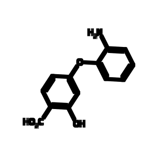 Nc1ccccc1Oc1ccc(C(=O)O)c(O)c1